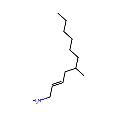 CCCCCCC(C)CC=CCN